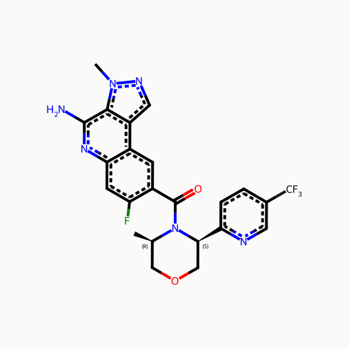 C[C@@H]1COC[C@H](c2ccc(C(F)(F)F)cn2)N1C(=O)c1cc2c(cc1F)nc(N)c1c2cnn1C